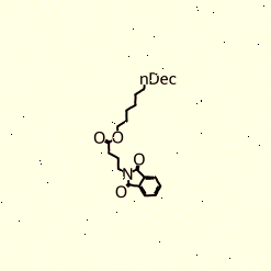 CCCCCCCCCCCCCCCCOC(=O)CCCN1C(=O)c2ccccc2C1=O